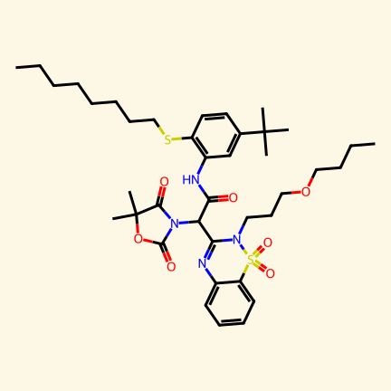 CCCCCCCCSc1ccc(C(C)(C)C)cc1NC(=O)C(C1=Nc2ccccc2S(=O)(=O)N1CCCOCCCC)N1C(=O)OC(C)(C)C1=O